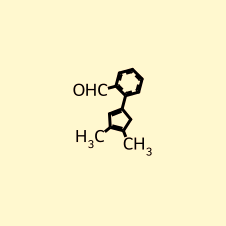 CC1=C(C)CC(c2ccccc2C=O)=C1